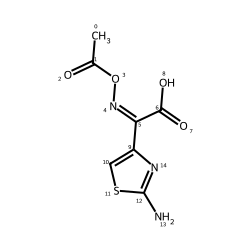 CC(=O)ON=C(C(=O)O)c1csc(N)n1